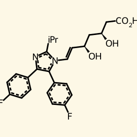 CC(C)c1nc(-c2ccc(F)cc2)c(-c2ccc(F)cc2)n1/C=C/[C@H](O)C[C@H](O)CC(=O)O